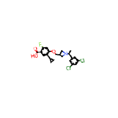 CC(c1cc(Cl)cc(Cl)c1)N1CC(COc2cc(F)c(C(=O)O)cc2C2CC2)C1